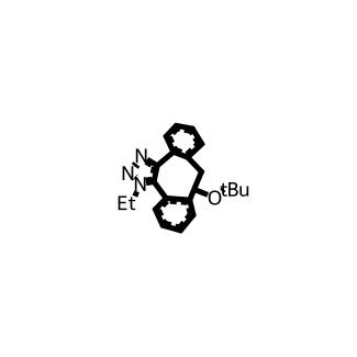 CCn1nnc2c1-c1ccccc1C(OC(C)(C)C)Cc1ccccc1-2